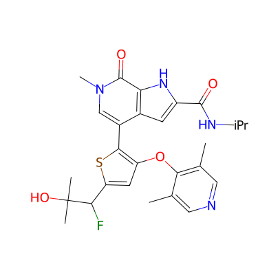 Cc1cncc(C)c1Oc1cc(C(F)C(C)(C)O)sc1-c1cn(C)c(=O)c2[nH]c(C(=O)NC(C)C)cc12